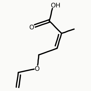 C=COCC=C(C)C(=O)O